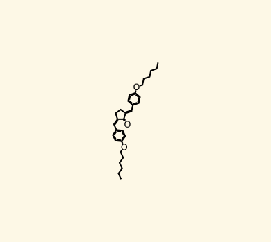 CCCCCCOc1ccc(/C=C2/CC/C(=C\c3ccc(OCCCCCC)cc3)C2=O)cc1